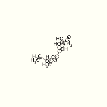 CC[C@H](C)CCCOC1CCC(OC2CCC(C3CC[C@@]4(O)C(CCC5C4CC[C@]4(C)[C@@H](C6=CC(=O)SC6)[C@H](O)C[C@]54O)C3)C[C@@H]2C)C[C@@H]1C